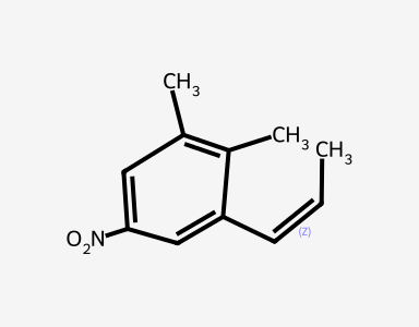 C/C=C\c1cc([N+](=O)[O-])cc(C)c1C